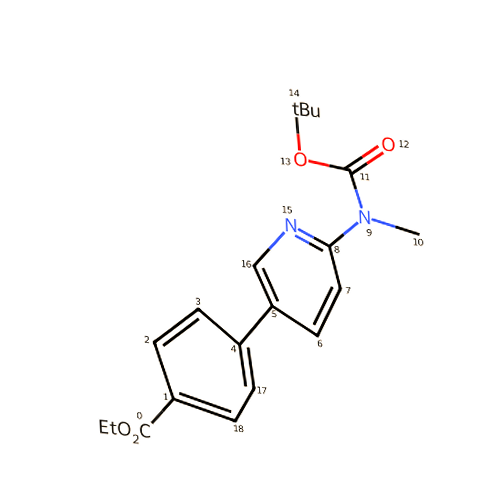 CCOC(=O)c1ccc(-c2ccc(N(C)C(=O)OC(C)(C)C)nc2)cc1